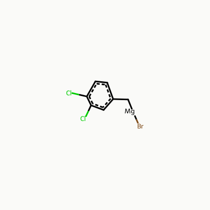 Clc1ccc([CH2][Mg][Br])cc1Cl